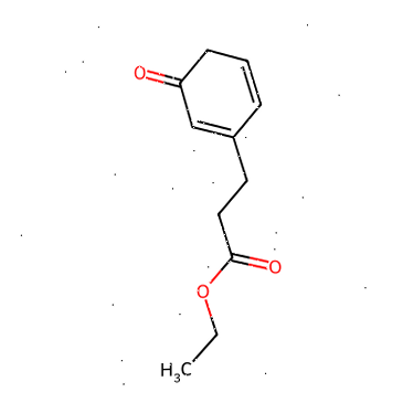 CCOC(=O)CCC1=CC(=O)CC=C1